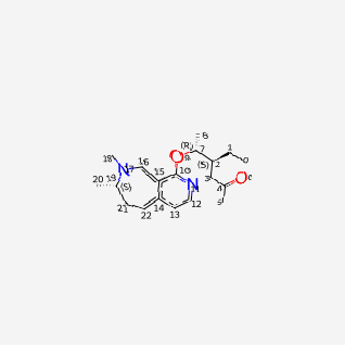 CC[C@@H](CC(C)=O)[C@@H](C)Oc1nccc2c1=CN(C)[C@@H](C)CC=2